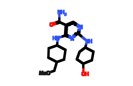 COCC1CCC(Nc2nc(NC3CCC(O)CC3)ncc2C(N)=O)CC1